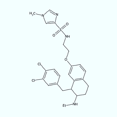 CCNC1CCc2ccc(OCCNS(=O)(=O)c3cn(C)cn3)cc2C1Cc1ccc(Cl)c(Cl)c1